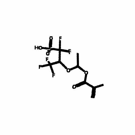 C=C(C)C(=O)OC(C)OC(C(F)(F)F)C(F)(F)S(=O)(=O)O